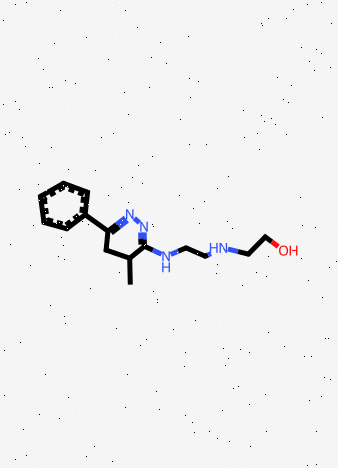 CC1CC(c2ccccc2)=NN=C1NCCNCCO